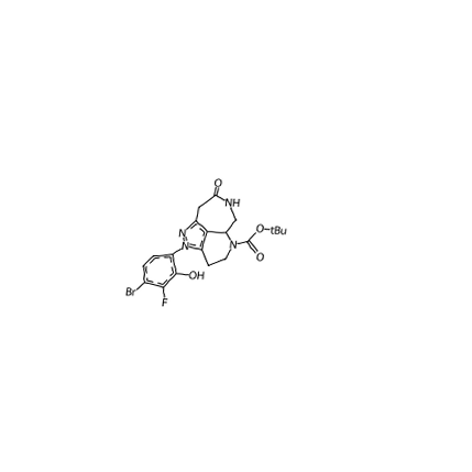 CC(C)(C)OC(=O)N1CCc2c3c(nn2-c2ccc(Br)c(F)c2O)CC(=O)NCC31